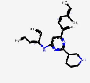 C=C/C=C(\C=C)Nc1cc(C(=C)/C=C\C(C)=C/C)nc(C2CCCNC2)n1